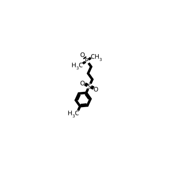 Cc1ccc(S(=O)(=O)CCCP(C)(C)=O)cc1